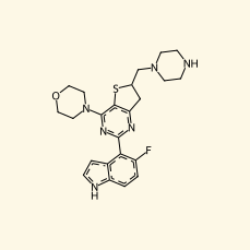 Fc1ccc2[nH]ccc2c1-c1nc2c(c(N3CCOCC3)n1)SC(CN1CCNCC1)C2